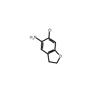 Nc1cc2c(cc1Cl)OCC2